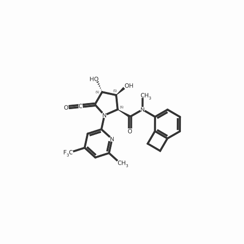 Cc1cc(C(F)(F)F)cc(N2C(=C=O)[C@H](O)[C@@H](O)[C@H]2C(=O)N(C)c2cccc3c2CC3)n1